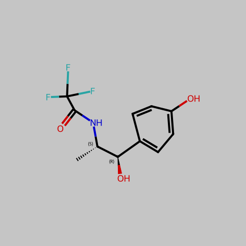 C[C@H](NC(=O)C(F)(F)F)[C@H](O)c1ccc(O)cc1